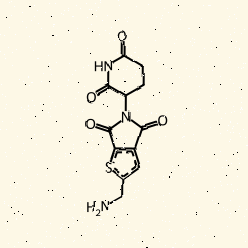 NCc1cc2c(s1)C(=O)N(C1CCC(=O)NC1=O)C2=O